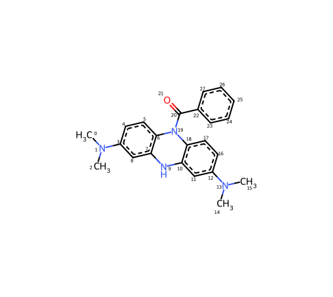 CN(C)c1ccc2c(c1)Nc1cc(N(C)C)ccc1N2C(=O)c1ccccc1